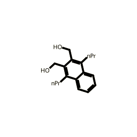 CCCc1c(CO)c(CO)c(CCC)c2ccccc12